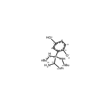 CCCCN[P+](NCCCC)(c1cc(O)ccc1[O-])C(N)CCC